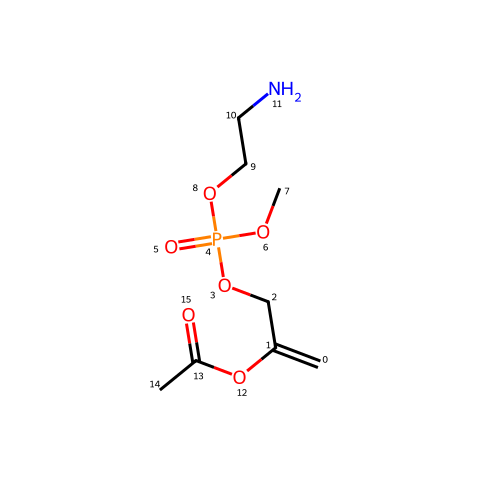 C=C(COP(=O)(OC)OCCN)OC(C)=O